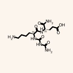 NCCCC[C@H](NC(=O)NC(N)=O)C(=O)N[C@@H](CCC(=O)O)C(N)=O